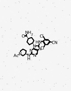 CC(=O)N1CCC[C@@H](Nc2ncc3nc(Nc4c(Cl)cc(C#N)cc4Cl)n([C@H]4CC[C@H](C(N)=O)CC4)c3n2)C1